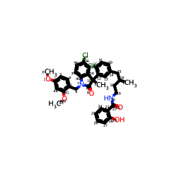 COc1ccc(CN2C(=O)C(C)(c3cc(CC(C)CCNC(=O)c4ccccc4O)ccc3Cl)c3cc(Cl)ccc32)c(OC)c1